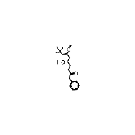 C=C=C(CC(O)CCC(=O)Cc1ccccc1)C[Si](C)(C)C